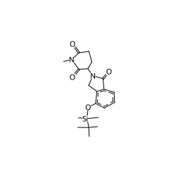 CN1C(=O)CCC(N2Cc3c(O[Si](C)(C)C(C)(C)C)cccc3C2=O)C1=O